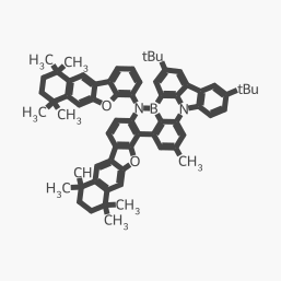 Cc1cc2c3c(c1)-n1c4ccc(C(C)(C)C)cc4c4cc(C(C)(C)C)cc(c41)B3N(c1cccc3c1oc1cc4c(cc13)C(C)(C)CCC4(C)C)c1ccc3c(oc4cc5c(cc43)C(C)(C)CCC5(C)C)c1-2